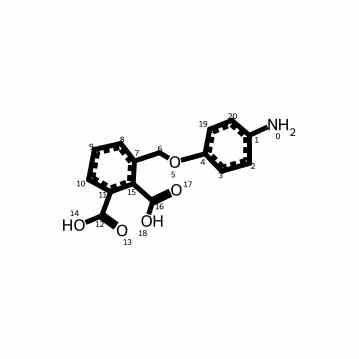 Nc1ccc(OCc2cccc(C(=O)O)c2C(=O)O)cc1